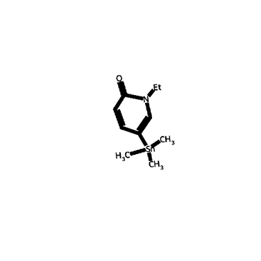 CCn1c[c]([Sn]([CH3])([CH3])[CH3])ccc1=O